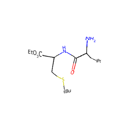 CCOC(=O)C(CSC(C)(C)C)NC(=O)C(N)C(C)C